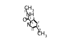 CCNC(=O)c1ccc(CC)cn1